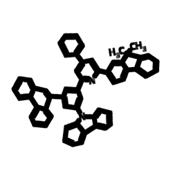 CC1(C)c2ccccc2-c2ccc(-c3cc(-c4ccccc4)cc(-c4cc(-c5cc6ccccc6c6ccccc56)cc(-n5c6ccccc6c6ccccc65)c4)n3)cc21